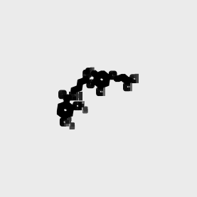 O=C(CCCNC(=O)c1ccc(C(F)(F)F)cc1C(F)(F)F)Oc1c(Cl)cc(OCC=C(Cl)Cl)cc1Cl